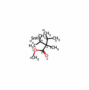 COC(=O)C(C)(C(C)C)C(C)C.[SnH2]